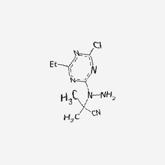 CCc1nc(Cl)nc(N(N)C(C)(C)C#N)n1